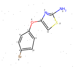 Nc1nc(Oc2ccc(Br)cc2)cs1